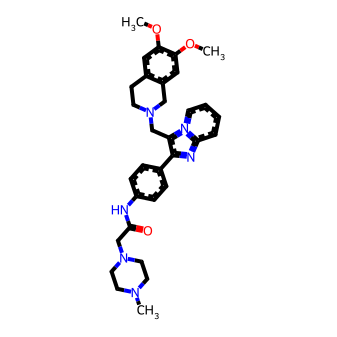 COc1cc2c(cc1OC)CN(Cc1c(-c3ccc(NC(=O)CN4CCN(C)CC4)cc3)nc3ccccn13)CC2